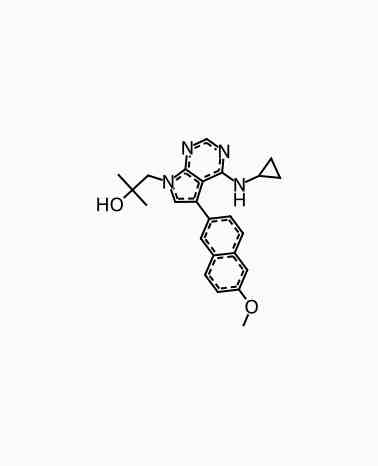 COc1ccc2cc(-c3cn(CC(C)(C)O)c4ncnc(NC5CC5)c34)ccc2c1